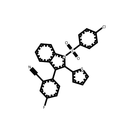 N#Cc1cc(F)ccc1-c1c(-c2cccs2)n(S(=O)(=O)c2ccc(Cl)cc2)c2ccccc12